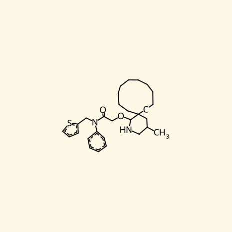 CC1CNC(OCC(=O)N(Cc2cccs2)c2ccccc2)C2(CCCCCCCCCC2)C1